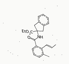 C/C=C/c1c(C)cccc1C(=O)NC1(C(=O)OCC)Cc2ccccc2C1